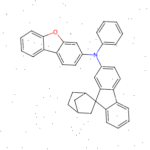 c1ccc(N(c2ccc3c(c2)C2(CC4CCC2C4)c2ccccc2-3)c2ccc3c(c2)oc2ccccc23)cc1